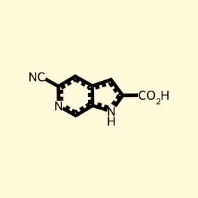 N#Cc1cc2cc(C(=O)O)[nH]c2cn1